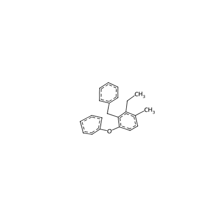 CCc1c(C)ccc(Oc2ccccc2)c1Cc1ccccc1